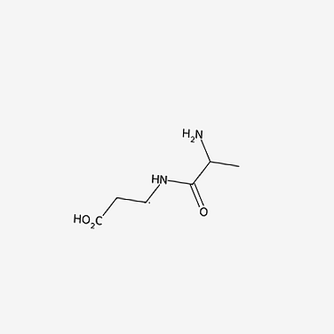 CC(N)C(=O)N[CH]CC(=O)O